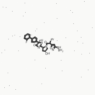 BBc1cc(C(C(=O)N2C[C@H](O)CC2C2=NC(=O)[C@](C)(c3ccc(-c4ccccc4F)cc3)N2)C(C)C)on1